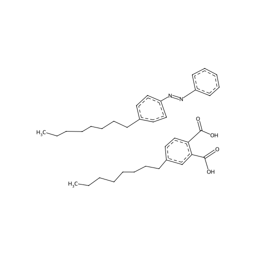 CCCCCCCCc1ccc(C(=O)O)c(C(=O)O)c1.CCCCCCCCc1ccc(N=Nc2ccccc2)cc1